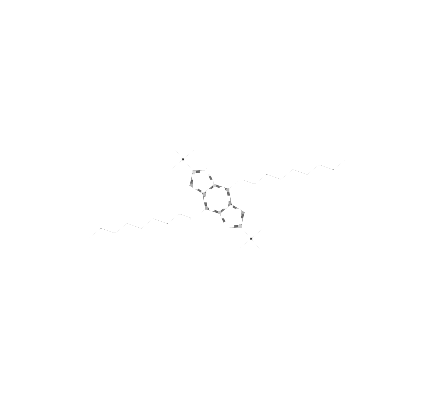 CCCCCCCCOc1c2cc(C(C)(C)C)sc2c(OCCCCCCCC)c2cc(C(C)(C)C)sc12